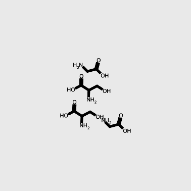 NC(CO)C(=O)O.NC(CO)C(=O)O.NCC(=O)O.NCC(=O)O